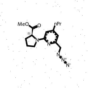 CCCc1cc(CN=[N+]=[N-])nc(N2CCC[C@H]2C(=O)OC)c1